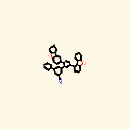 N#Cc1cc(-c2ccccc2)cc(-c2cc(-c3cccc4oc5ccccc5c34)ccc2-c2ccc3oc4ccccc4c3c2)c1